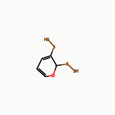 SS[C]1OC=CC=C1SS